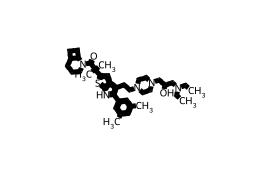 CCN(CC)CC(O)CN1CCN(CCc2c(-c3cc(C)cc(C)c3)[nH]c3sc(C(C)(C)C(=O)N4CCCC5CCC54)cc23)CC1